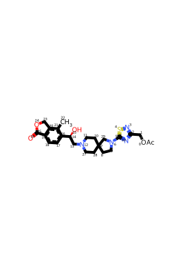 CC(=O)OCc1nsc(N2CCC3(CCN(C[C@H](O)c4ccc5c(c4C)COC5=O)CC3)C2)n1